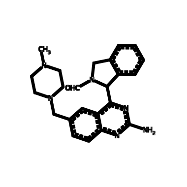 CN1CCN(Cc2ccc3nc(N)nc(C4c5ccccc5CN4C=O)c3c2)CC1